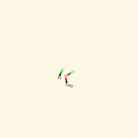 CCCl.O=COCl